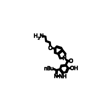 CCCCc1n[nH]c2cc(O)c(C(=O)N3Cc4ccc(OCCCN)cc4C3)cc12